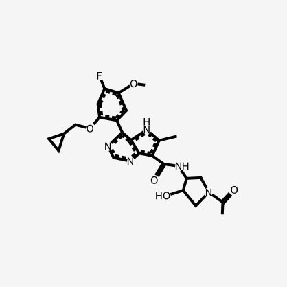 COc1cc(-c2ncnc3c(C(=O)NC4CN(C(C)=O)CC4O)c(C)[nH]c23)c(OCC2CC2)cc1F